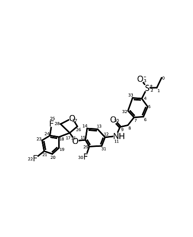 CC[S+]([O-])c1ccc(CC(=O)Nc2ccc(OC3(c4ccc(F)cc4F)COC3)c(F)c2)cc1